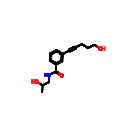 CC(O)CNC(=O)c1cccc(C#CCCCO)c1